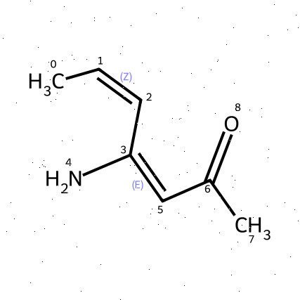 C/C=C\C(N)=C/C(C)=O